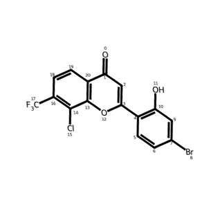 O=c1cc(-c2ccc(Br)cc2O)oc2c(Cl)c(C(F)(F)F)ccc12